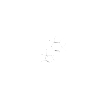 CC1=CC[C@@H](C2=CC(C)(C)C(O)C(C)(C)C2)C1(C)C